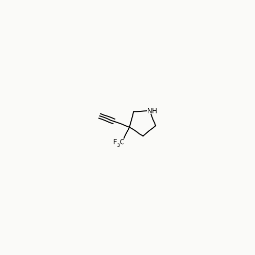 C#CC1(C(F)(F)F)CCNC1